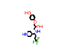 Oc1ccc(OC[C@@H](O)CNC(CCC(F)(F)F)C2CCNCC2)cc1